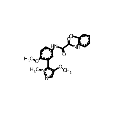 COc1ccc(NC(=O)C(=O)Nc2ccccc2Cl)cc1-c1c(OC)cnn1C